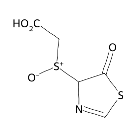 O=C(O)C[S+]([O-])C1N=CSC1=O